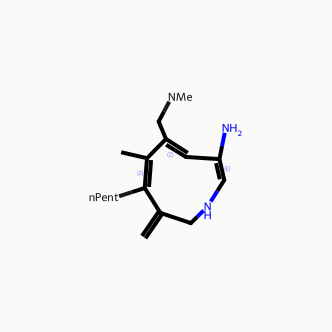 C=C1CN\C=C(N)/C=C(CNC)/C(C)=C\1CCCCC